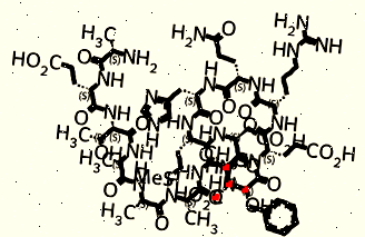 CSCC[C@H](NC(=O)[C@H](Cc1c[nH]cn1)NC(=O)[C@H](CCC(N)=O)NC(=O)[C@H](CCCNC(=N)N)NC(=O)[C@H](CCC(=O)O)NC(=O)[C@H](Cc1ccccc1)NC(=O)[C@H](C)NC(=O)[C@H](C)NC(=O)[C@H](C)NC(=O)[C@H](C)NC(=O)[C@@H](NC(=O)[C@H](CCC(=O)O)NC(=O)[C@H](C)N)[C@@H](C)O)C(=O)N[C@@H](CC(=O)O)C(=O)N[C@@H](CO)C(=O)O